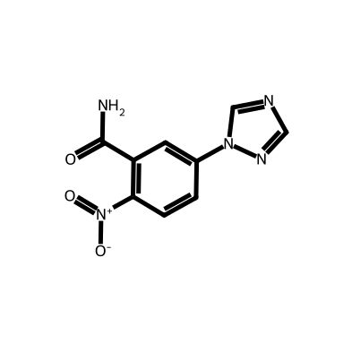 NC(=O)c1cc(-n2cncn2)ccc1[N+](=O)[O-]